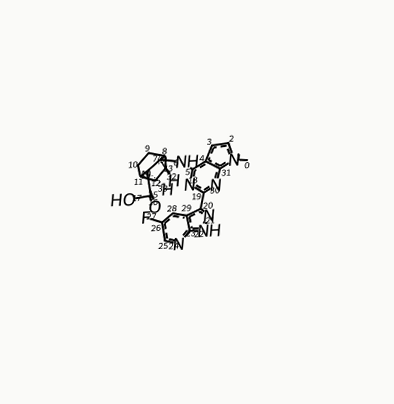 Cn1ccc2c(N[C@H]3C4CCC(CC4)[C@@H]3C(=O)O)nc(-c3n[nH]c4ncc(F)cc34)nc21